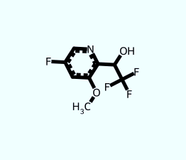 COc1cc(F)cnc1C(O)C(F)(F)F